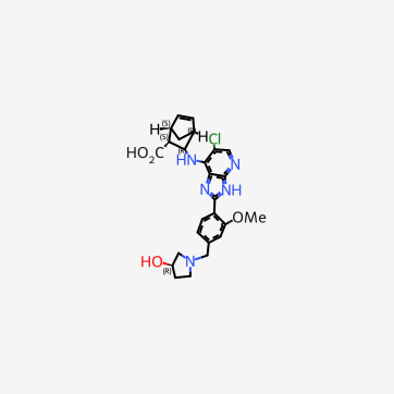 COc1cc(CN2CC[C@@H](O)C2)ccc1-c1nc2c(N[C@H]3[C@@H](C(=O)O)[C@@H]4C=C[C@H]3C4)c(Cl)cnc2[nH]1